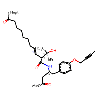 CC#CCOc1ccc(C[C@@H](CC(=O)OC)NC(=O)[C@@H](/C=C/CCCCCCC(=O)CCCCCCC)[C@@](O)(CCC)C(=O)O)cc1